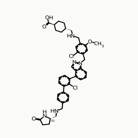 COc1cc(Cn2ncc3c(-c4cccc(-c5ccc(CNC[C@@H]6CCC(=O)N6)cc5)c4Cl)cccc32)c(Cl)cc1CNC[C@H]1CC[C@H](C(=O)O)CC1